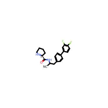 N#CC(Cc1ccc(-c2ccc(F)c(F)c2)cc1)NC(=O)[C@@H]1CCCCN1